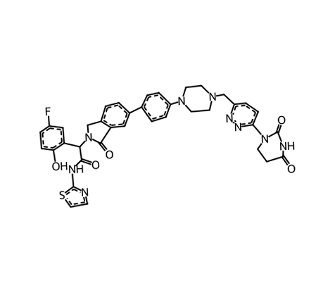 O=C1CCN(c2ccc(CN3CCN(c4ccc(-c5ccc6c(c5)C(=O)N(C(C(=O)Nc5nccs5)c5cc(F)ccc5O)C6)cc4)CC3)nn2)C(=O)N1